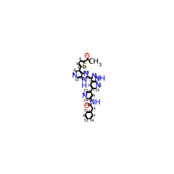 CC(=O)c1ccc(-c2cncc3[nH]c(-c4n[nH]c5ncc(-c6cncc(NC(=O)Cc7ccccc7)c6)cc45)nc23)s1